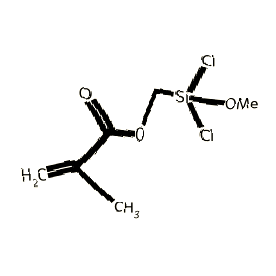 C=C(C)C(=O)OC[Si](Cl)(Cl)OC